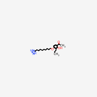 CCCc1c(OCCCCCCCCCc2nnn[nH]2)ccc(C(C)=O)c1O